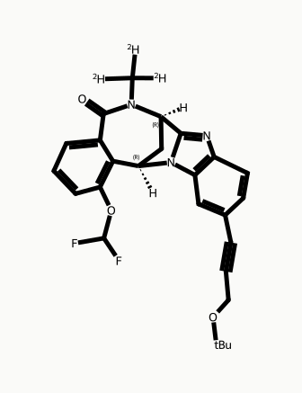 [2H]C([2H])([2H])N1C(=O)c2cccc(OC(F)F)c2[C@H]2C[C@@H]1c1nc3ccc(C#CCOC(C)(C)C)cc3n12